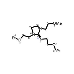 CCCOCC/N=C1\N(CCOC)CCN1CCOCC